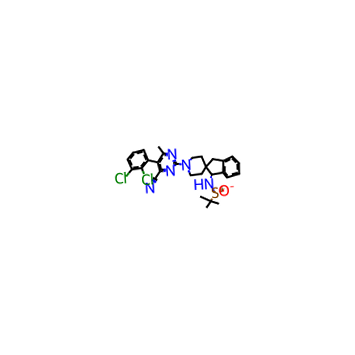 Cc1nc(N2CCC3(CC2)Cc2ccccc2[C@H]3N[S+]([O-])C(C)(C)C)nc(C#N)c1-c1cccc(Cl)c1Cl